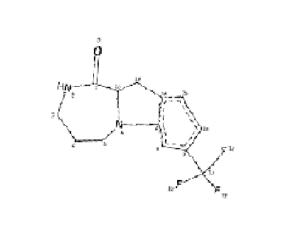 O=C1NCCCN2c3cc(C(F)(F)F)ccc3CC12